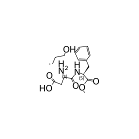 COC(=O)[C@H](Cc1ccccc1)NC(=O)[C@@H](N)CC(=O)O.[CH2]CCO